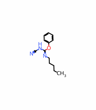 CCCCC/N=C(/NC#N)Oc1ccccc1